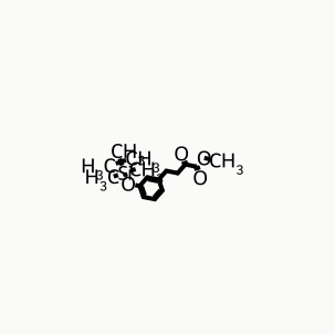 COC(=O)C(=O)CCc1cccc(O[Si](C)(C)C(C)(C)C)c1